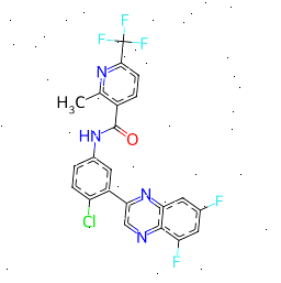 Cc1nc(C(F)(F)F)ccc1C(=O)Nc1ccc(Cl)c(-c2cnc3c(F)cc(F)cc3n2)c1